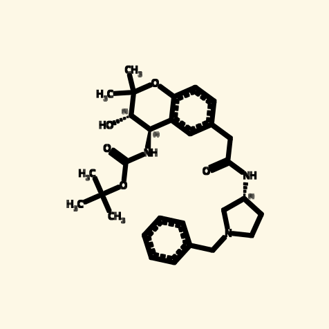 CC(C)(C)OC(=O)N[C@@H]1c2cc(CC(=O)N[C@@H]3CCN(Cc4ccccc4)C3)ccc2OC(C)(C)[C@H]1O